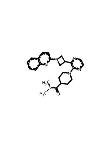 CN(C)C(=O)C1CCN(c2nccnc2C2CN(c3ccc4ccccc4n3)C2)CC1